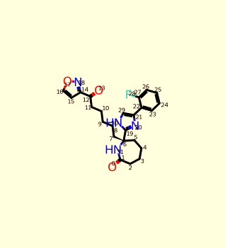 O=C1CCCC[C@@](CCCCCC(=O)c2ccon2)(c2nc(-c3ccccc3F)c[nH]2)N1